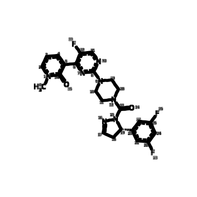 Cn1cccc(-c2nc(N3CCN(C(=O)N4N=CC[C@H]4c4cc(F)cc(F)c4)CC3)ncc2F)c1=O